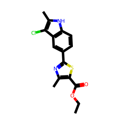 CCOC(=O)c1sc(-c2ccc3[nH]c(C)c(Cl)c3c2)nc1C